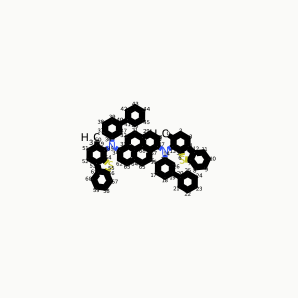 Cc1ccc2c(sc3ccccc32)c1N(c1cccc(-c2ccccc2)c1)c1ccc2ccc3c(N(c4cccc(-c5ccccc5)c4)c4c(C)ccc5c4sc4ccccc45)ccc4ccc1c2c43